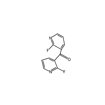 O=C(c1cccnc1F)c1cccnc1F